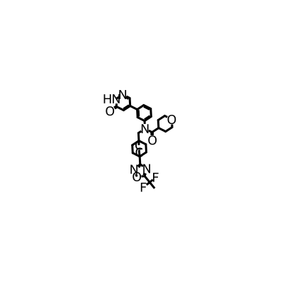 CC(F)(F)c1nc(C23CCC(CN(C(=O)C4CCOCC4)c4cccc(-c5cn[nH]c(=O)c5)c4)(CC2)CC3)no1